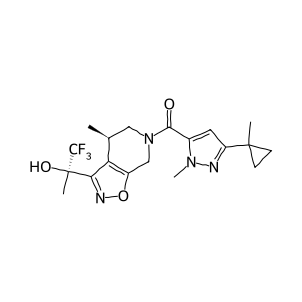 C[C@H]1CN(C(=O)c2cc(C3(C)CC3)nn2C)Cc2onc([C@@](C)(O)C(F)(F)F)c21